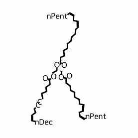 CCCCC/C=C\C/C=C\CCCCCCCCCC(=O)O[C@H](COC(=O)CCCCCCC/C=C\C/C=C\CCCCC)COC(=O)CCCCCCCCC/C=C\CCCCCCCCCC